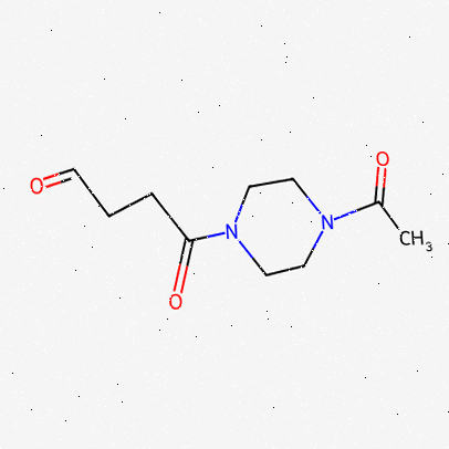 CC(=O)N1CCN(C(=O)CCC=O)CC1